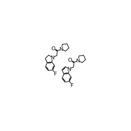 O=C(CN1CCc2ccc(F)cc21)N1CCCC1.O=C(Cn1ccc2ccc(F)cc21)N1CCCC1